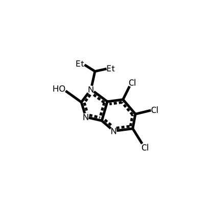 CCC(CC)n1c(O)nc2nc(Cl)c(Cl)c(Cl)c21